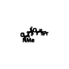 CNC(=O)CCC(C)(C)OCCC(C)C